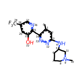 Cc1cc(NC2CCCN(C)C2)nnc1-c1ncc(C(F)(F)F)cc1O